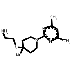 Cc1cc(C)nc(N2CCC(C#N)(OCCN)CC2)n1